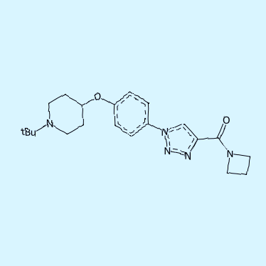 CC(C)(C)N1CCC(Oc2ccc(-n3cc(C(=O)N4CCC4)nn3)cc2)CC1